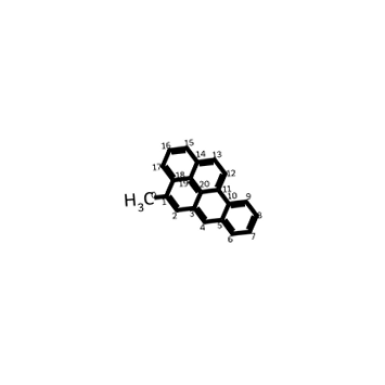 Cc1cc2cc3ccccc3c3ccc4cccc1c4c23